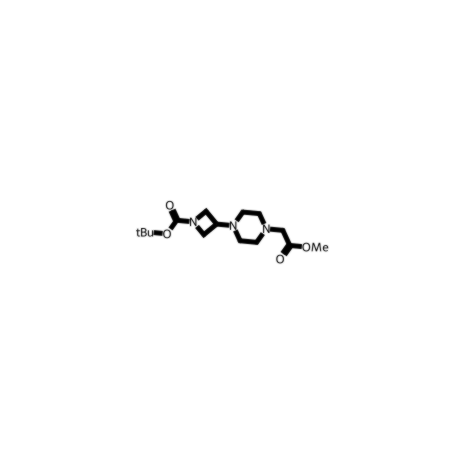 COC(=O)CN1CCN(C2CN(C(=O)OC(C)(C)C)C2)CC1